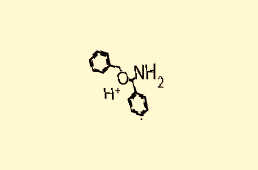 NC(OCc1ccccc1)c1cc[c]cc1.[H+]